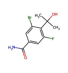 CC(C)(O)c1c(F)cc(C(N)=O)cc1Br